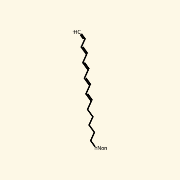 [CH]=CC=CC=CC=CC=CCCCCCCCCCCCCCC